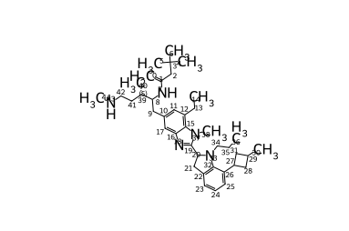 C=C(CC(C)(C)C)NC(Cc1cc(CC)c2c(c1)nc(C1Cc3cccc(C4CC(C)C4)c3N1CCC)n2C)[C@@H](C)CCNC